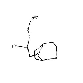 CCC(COC(C)(C)C)CN1C2CCCC1CC2